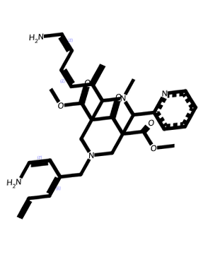 C=C/C=C(\C=C/N)CN1CC2(C(=O)OC)C(=O)C(C(=O)OC)(C1)C(c1ccccn1)N(C)C2C(=C)/C=C\C=C/N